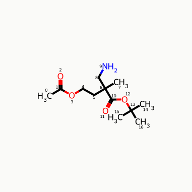 CC(=O)OCCC(C)(CN)C(=O)OC(C)(C)C